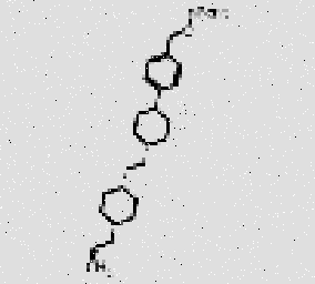 C=CC[C@H]1CC[C@H](CC[C@H]2CC[C@H](c3ccc(COCCCCC)cc3)CC2)CC1